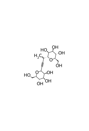 C=C(C#CC1O[C@H](CO)[C@@H](O)[C@H](O)[C@@H]1O)[C@H]1O[C@H](CO)[C@@H](O)[C@H](O)[C@@H]1O